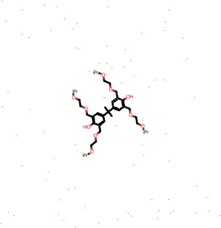 CC(C)OCCOCc1cc(C(C)(C)c2cc(COCCOC(C)C)c(O)c(COCCOC(C)C)c2)cc(COCCOC(C)C)c1O